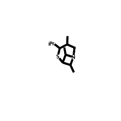 CC(C)C1SC2C(C)N(CC1C)C2C